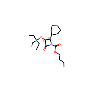 CCCCOC(=O)N1C(=O)[C@@H](O[Si](CC)(CC)CC)[C@H]1C1CCCCC1